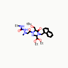 CCNC(=O)NN(C)CC(=O)NC(COC(C)(C)C)C(=O)N(Cc1cccc2ccccc12)C(C)C(OCC)OCC